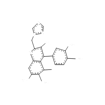 CCc1c(OC)c(OC)cc2nc(Cn3cncn3)c(C(=O)O)c(-c3ccc(OC)c(OC)c3)c12